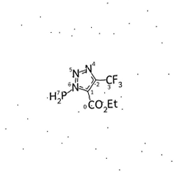 CCOC(=O)c1c(C(F)(F)F)nnn1P